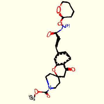 CC(C)(C)OC(=O)N1CCC2(CC1)CC(=O)c1ccc(/C=C/C(=O)NOC3CCCCO3)cc1O2